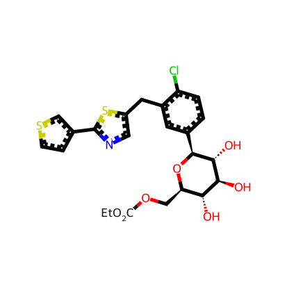 CCOC(=O)OC[C@H]1O[C@@H](c2ccc(Cl)c(Cc3cnc(-c4ccsc4)s3)c2)[C@H](O)[C@@H](O)[C@@H]1O